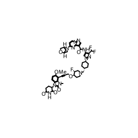 COc1ccc2c(c1C#CCO[C@@H]1CCN(C[C@H]3CC[C@H](n4cc(NC(=O)c5cnn6ccc(N7C[C@H]8C[C@@H]7CO8)nc56)c(C(F)F)n4)CC3)C[C@@H]1F)n(C)c(=O)n2C1CCC(=O)NC1=O